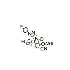 COc1c(C#N)ccc(OC2(C)CC2)c1C(=O)N1Cc2cn(-c3ccc(F)cc3)nc2C1